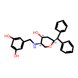 Oc1cc(O)cc(CN[C@@H]2CO[C@H](C(c3ccccc3)c3ccccc3)C[C@@H]2O)c1